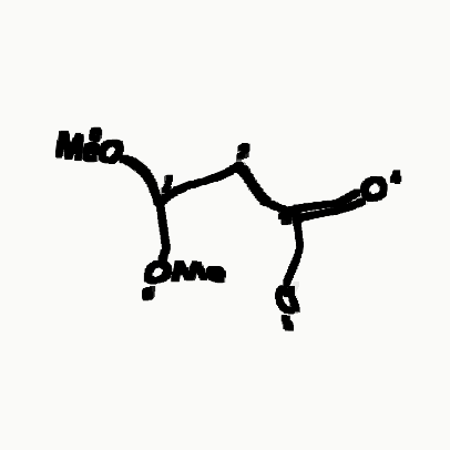 COC(CC(=O)Cl)OC